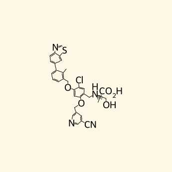 Cc1c(COc2cc(OCc3cncc(C#N)c3)c(CN[C@](C)(CO)C(=O)O)cc2Cl)cccc1-c1ccc2ncsc2c1